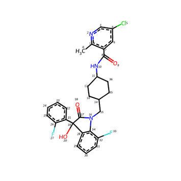 Cc1ncc(Cl)cc1C(=O)NC1CCC(CN2C(=O)C(O)(c3ccccc3F)c3cccc(F)c32)CC1